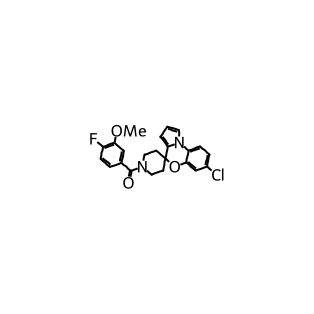 COc1cc(C(=O)N2CCC3(CC2)Oc2cc(Cl)ccc2-n2cccc23)ccc1F